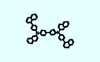 c1ccc2cc(N(c3ccc(-c4ccc(N(c5ccc(-c6cccc7ccccc67)cc5)c5ccc6ccccc6c5)cc4)cc3)c3ccc(-c4cccc5ccccc45)cc3)ccc2c1